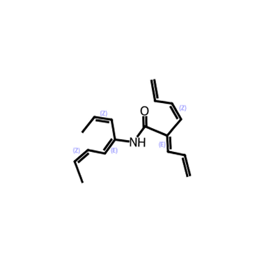 C=C/C=C\C(=C/C=C)C(=O)NC(/C=C\C)=C/C=C\C